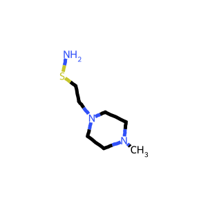 CN1CCN(CCSN)CC1